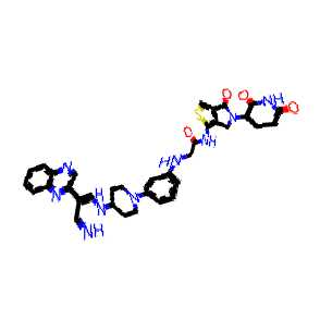 N=C/C(=C\NC1CCN(c2cccc(NCC(=O)Nc3scc4c3CN(C3CCC(=O)NC3=O)C4=O)c2)CC1)c1cnc2ccccc2n1